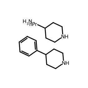 CCCC1CCNCC1.N.c1ccc(C2CCNCC2)cc1